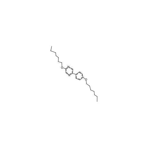 CCCCCCCOc1ccc(-c2cnc(OCCCCCCC)cn2)cc1